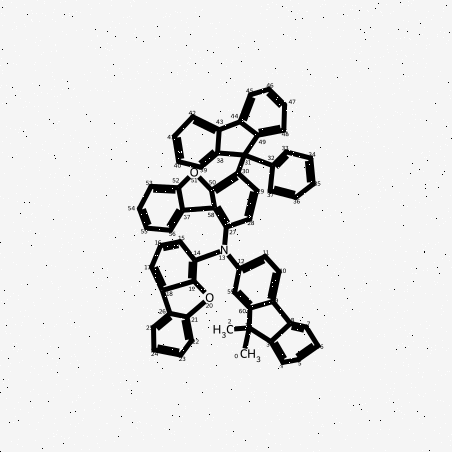 CC1(C)c2ccccc2-c2ccc(N(c3cccc4c3oc3ccccc34)c3ccc(C4(c5ccccc5)c5ccccc5-c5ccccc54)c4oc5ccccc5c34)cc21